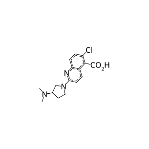 CN(C)[C@@H]1CCN(c2ccc3c(C(=O)O)c(Cl)ccc3n2)C1